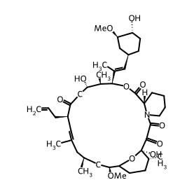 C=CC[C@@H]1/C=C(\C)C[C@H](C)C[C@H](OC)C2CC[C@@H](C)[C@@](O)(O2)C(=O)C(=O)N2CCCC[C@H]2C(=O)O[C@H](/C(C)=C/[C@@H]2CC[C@@H](O)[C@H](OC)C2)[C@H](C)[C@@H](O)CC1=O